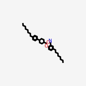 CCCCCCCCc1ccc(C2CCC(C(=O)Oc3ccc(CCCCCCCC)cc3C#N)CC2)cc1